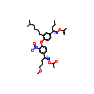 C=C(C)O/N=C(\CCC)c1ccc(Oc2ccc(/C(CCCOC)=N/OC(C)=O)cc2[N+](=O)[O-])c(CCCCC(C)C)c1